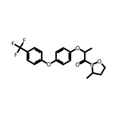 CC(Oc1ccc(Oc2ccc(C(F)(F)F)cc2)cc1)C(=O)N1OCCC1C